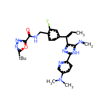 C=Nc1[nH]c(-c2ccc(N(C)C)cn2)nc1/C(=C\C)c1ccc(CNC(=O)c2nnc(C(C)(C)C)o2)c(F)c1